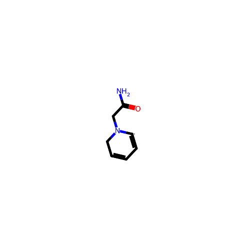 NC(=O)CN1[C]=CC=CC1